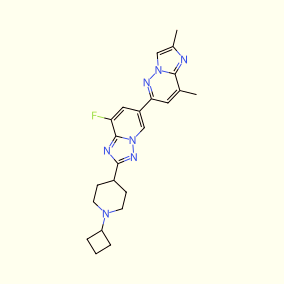 Cc1cn2nc(-c3cc(F)c4nc(C5CCN(C6CCC6)CC5)nn4c3)cc(C)c2n1